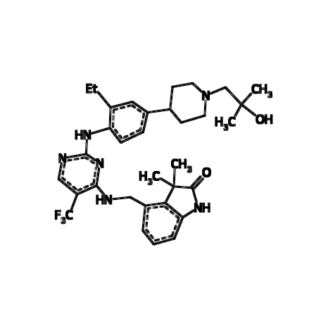 CCc1cc(C2CCN(CC(C)(C)O)CC2)ccc1Nc1ncc(C(F)(F)F)c(NCc2cccc3c2C(C)(C)C(=O)N3)n1